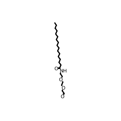 CCCCCCCCCCCCCCCCC(=O)NCCOCCOCC=O